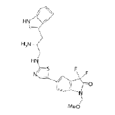 COCN1C(=O)C(F)(F)c2cc(-c3cnc(NC[C@H](N)Cc4c[nH]c5ccccc45)s3)ccc21